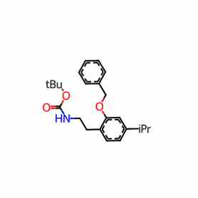 CC(C)c1ccc(CCNC(=O)OC(C)(C)C)c(OCc2ccccc2)c1